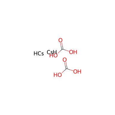 O=C(O)O.O=C(O)O.[CsH].[CsH]